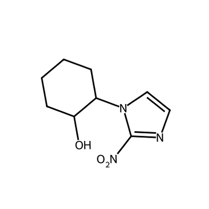 O=[N+]([O-])c1nccn1C1CCCCC1O